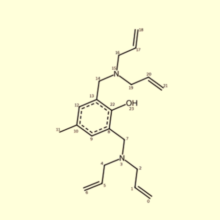 C=CCN(CC=C)Cc1cc(C)cc(CN(CC=C)CC=C)c1O